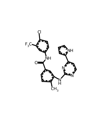 Cc1ccc(C(=O)Nc2ccc(Cl)c(C(F)(F)F)c2)cc1Nc1nccc(-c2ccc[nH]2)n1